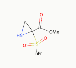 CCCS(=O)(=O)C1(C(=O)OC)CN1